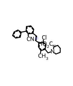 Cc1cc(/C=C/c2cccc(-c3ccccc3)c2C#N)c(Cl)cc1CN1CCCC[C@H]1C(=O)O